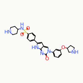 O=c1nc2[nH]c(-c3ccc(S(=O)(=O)NC4CCNCC4)cc3)cc2cn1-c1cccc(OC2CCNC2)c1